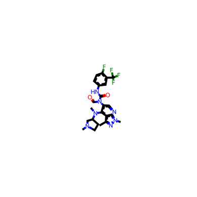 Cc1nn(C)c2ncc(N(C=O)C(=O)Nc3ccc(F)c(C(F)(F)F)c3)c(N(C)C3CCN(C)C3)c12